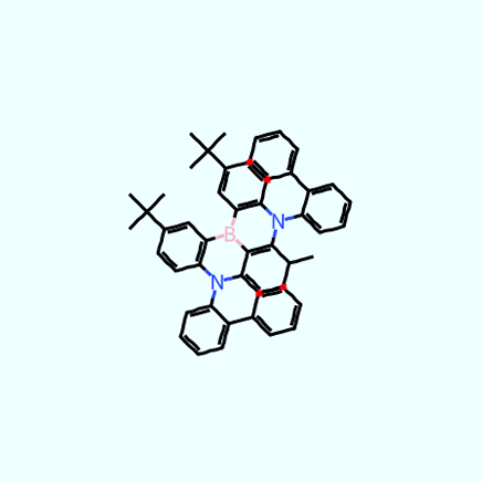 CC1CC=C2C3=C1N(c1ccccc1-c1ccccc1)c1ccc(C(C)(C)C)cc1B3c1cc(C(C)(C)C)ccc1N2c1ccccc1-c1ccccc1